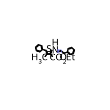 CCOC(=O)c1c(N/C=C/C(=O)c2ccccc2)sc(-c2ccccc2)c1C